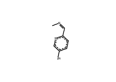 C/N=C\c1ccc(C(C)C)cn1